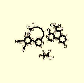 C[C@@H]1CCC[C@H](n2cnc(-c3cc(Cl)ccc3-n3cc(Cl)nn3)cc2=O)c2cc(ccn2)-c2cc(C#N)c(C#N)cc2NC1=O.O=C(O)C(F)(F)F